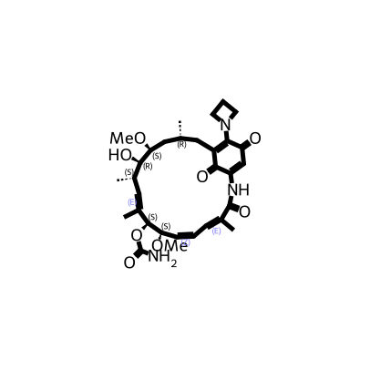 CO[C@H]1/C=C\C=C(/C)C(=O)NC2=CC(=O)C(N3CCC3)=C(C[C@@H](C)C[C@H](OC)[C@H](O)[C@@H](C)/C=C(\C)[C@@H]1OC(N)=O)C2=O